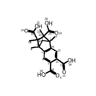 CC12CC(C)(c3cc(C(=O)O)c(C(=O)O)cc31)C(C)(C(=O)O)C2(C)C(=O)O